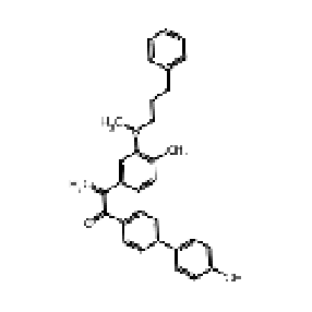 C=C(C(=O)c1ccc(-c2ccc(O)cc2)cc1)c1ccc(C)c(N(C)CCCc2ccccc2)c1